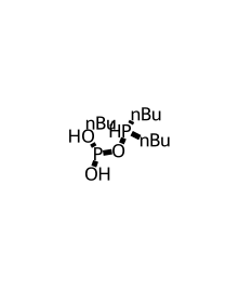 CCCC[PH](CCCC)(CCCC)OP(O)O